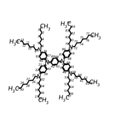 CCCCCCCN(CCCCCCC)c1ccc(N(c2ccc(N(CCCCCCC)CCCCCCC)cc2)c2ccc(N(c3ccc(N(CCCCCCC)CCCCCCC)cc3)c3ccc(N(CCCCCCC)CCCCCCC)cc3)cc2)cc1